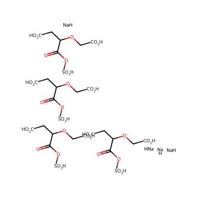 O=C(O)COC(CC(=O)O)C(=O)OS(=O)(=O)O.O=C(O)COC(CC(=O)O)C(=O)OS(=O)(=O)O.O=C(O)COC(CC(=O)O)C(=O)OS(=O)(=O)O.O=C(O)COC(CC(=O)O)C(=O)OS(=O)(=O)O.[NaH].[NaH].[NaH].[NaH]